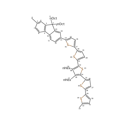 CCCCCCCCC1(CCCCCCCC)c2cc(C)ccc2-c2ccc(-c3ccc(-c4ccc(-c5sc(-c6ccc(-c7ccc(C)s7)s6)c(CCCCCC)c5CCCCCC)s4)s3)cc21